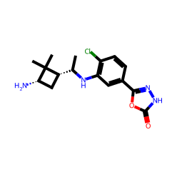 CC(Nc1cc(-c2n[nH]c(=O)o2)ccc1Cl)[C@@H]1C[C@H](N)C1(C)C